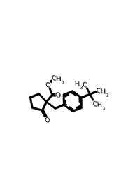 COC(=O)C1(Cc2ccc(C(C)(C)C)cc2)CCCC1=O